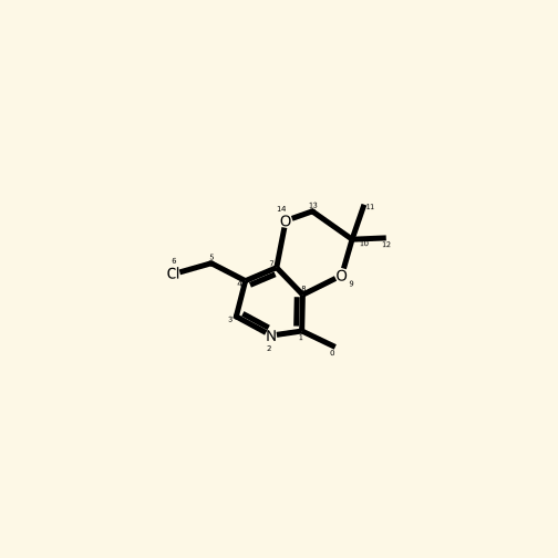 Cc1ncc(CCl)c2c1OC(C)(C)CO2